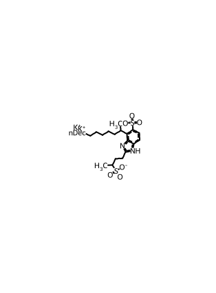 CCCCCCCCCCCCCCCC(C)c1c(S(=O)(=O)[O-])ccc2[nH]c(CCC(C)S(=O)(=O)[O-])nc12.[K+].[K+]